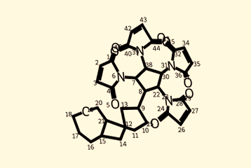 O=C1C=CC(=O)N1C1C(C2CCC3(C2)CC2CCCCCC23)C(N2C(=O)C=CC2=O)C(N2C(=O)C=CC2=O)C1N1C(=O)C=CC1=O